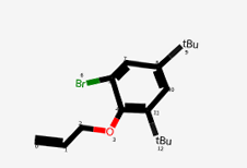 C=CCOc1c(Br)cc(C(C)(C)C)cc1C(C)(C)C